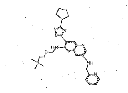 C[Si](C)(C)CCOCNc1nc2cc(NCc3ccccn3)cnc2cc1-c1nnc(C2CCCC2)s1